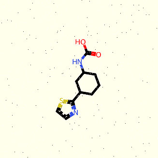 O=C(O)NC1CCCC(c2nccs2)C1